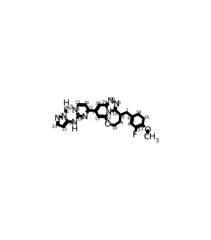 COC1=C(F)C=C(CC2CCOc3cc(-c4ccnc(Nc5ccnn5C)n4)cc4nnc2n34)CC1